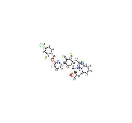 Fc1cc(Cl)ccc1COc1cccc(-c2ccc(Cc3nc4ccccc4n3C[C@@H]3CCO3)c(F)c2F)n1